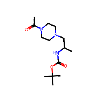 CC(=O)N1CCN(CC(C)NC(=O)OC(C)(C)C)CC1